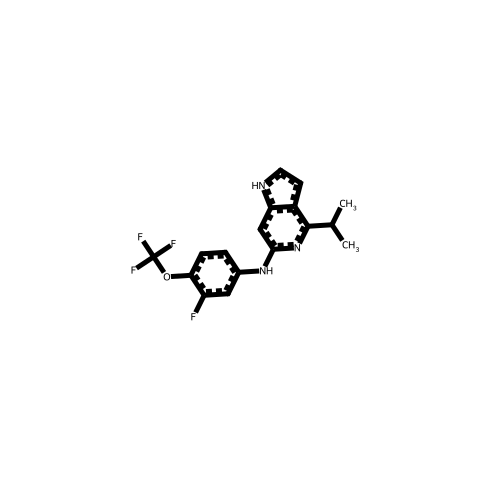 CC(C)c1nc(Nc2ccc(OC(F)(F)F)c(F)c2)cc2[nH]ccc12